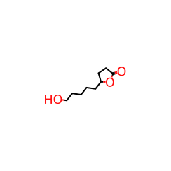 O=C1CCC(CCCCCO)O1